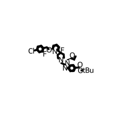 CC(C)(C)OC(=O)c1ccc2nc(CN3CCC(F)(c4cccc(OCc5ccc(Cl)cc5F)n4)CC3)n(C[C@@H]3CCO3)c2c1